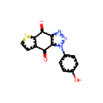 O=C1c2nnn(-c3ccc(O)cc3)c2C(=O)c2ccsc21